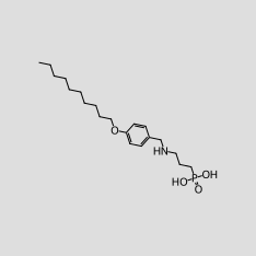 CCCCCCCCCCOc1ccc(CNCCCP(=O)(O)O)cc1